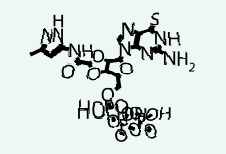 Cc1cc(NC(=O)C2OC3C(COP(=O)(O)OP(=O)(O)OP(=O)(O)O)OC(n4cnc5c(=S)[nH]c(N)nc54)C3O2)[nH]n1